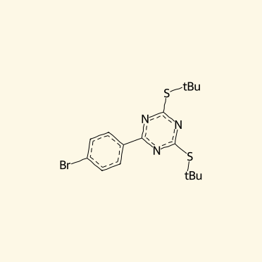 CC(C)(C)Sc1nc(SC(C)(C)C)nc(-c2ccc(Br)cc2)n1